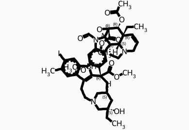 CC[C@]1(O)C[C@H]2CN(CCC3=C(Bc4cc(I)c(C)cc43)[C@@](C(=O)OC)(c3cc4c(cc3OC)N(C=O)[C@@]35O[C@]3(C(=O)OC)[C@H](OC(C)=O)[C@]3(CC)C=CCN6CC[C@]45[C@@H]63)C2)C1